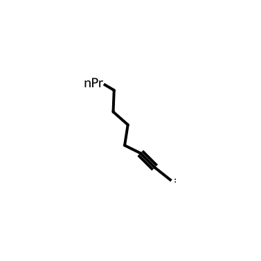 [CH]C#CCCCCCCC